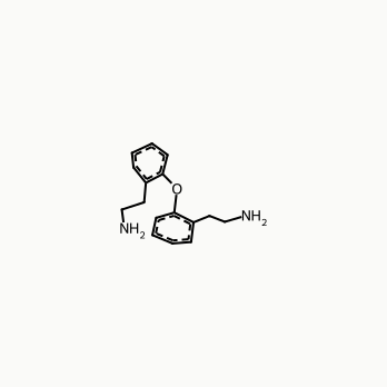 NCCc1ccccc1Oc1ccccc1CCN